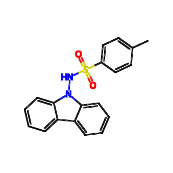 Cc1ccc(S(=O)(=O)Nn2c3ccccc3c3ccccc32)cc1